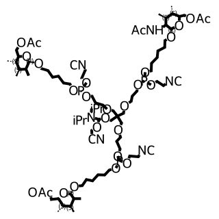 [C-]#[N+]CCOP(OCCCCCCO[C@@H]1OC(COC(C)=O)[C@@H](C)[C@H](C)C1C)OCCCOCC(COCCCOP(OCCCCCCO[C@@H]1OC(COC(C)=O)[C@@H](C)[C@H](C)C1C)OCC[N+]#[C-])(COCCCOP(OCCCCCCO[C@@H]1OC(COC(C)=O)[C@@H](C)[C@H](C)C1NC(C)=O)OCC[N+]#[C-])COC(OCC#N)N(C(C)C)C(C)C